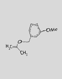 C=C(C)OCc1cccc(OC)c1